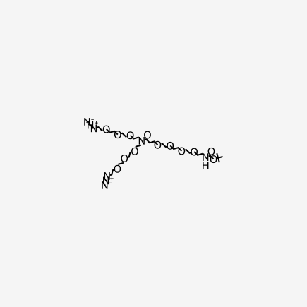 CC(C)(C)OC(=O)NCCOCCOCCOCCOCCC(=O)N(CCOCCOCCOCCN=[N+]=[N-])CCOCCOCCOCCN=[N+]=[N-]